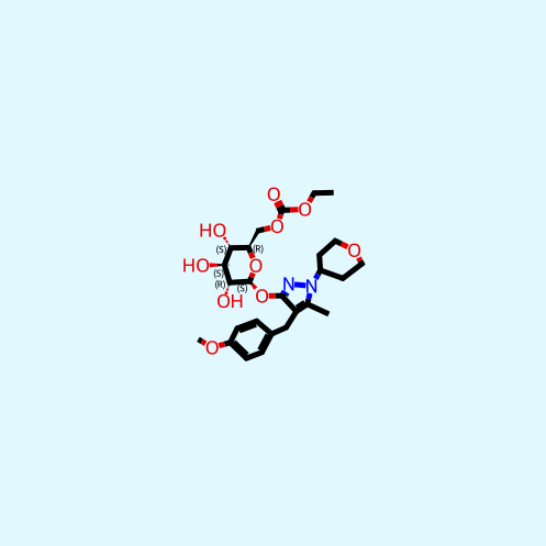 CCOC(=O)OC[C@H]1O[C@@H](Oc2nn(C3CCOCC3)c(C)c2Cc2ccc(OC)cc2)[C@H](O)[C@@H](O)[C@@H]1O